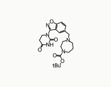 CC(C)(C)OC(=O)N1CCCN(Cc2ccc3onc(N4CCC(=O)NC4=O)c3c2)CC1